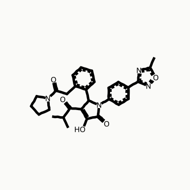 Cc1nc(-c2ccc(N3C(=O)C(O)=C(C(=O)C(C)C)C3c3ccccc3CC(=O)N3CCCC3)cc2)no1